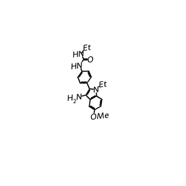 CCNC(=O)Nc1ccc(-c2c(N)c3cc(OC)ccc3n2CC)cc1